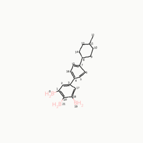 Bc1cc(-c2ccc(C3CCC(C)CC3)cc2)cc(B)c1B